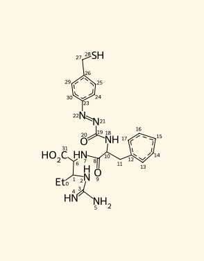 CCC(NC(=N)N)C(NC(=O)C(Cc1ccccc1)NC(=O)/N=N/c1ccc(CS)cc1)C(=O)O